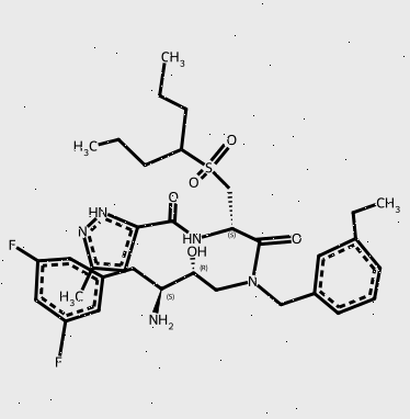 CCCC(CCC)S(=O)(=O)C[C@@H](NC(=O)c1cc(C)n[nH]1)C(=O)N(Cc1cccc(CC)c1)C[C@@H](O)[C@@H](N)Cc1cc(F)cc(F)c1